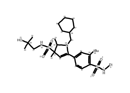 CCNS(=O)(=O)c1ccc(C2=CC(C)(S(=O)(=O)NCC(C)(C)O)C(C)N2CC2CCCCC2)cc1C(C)(C)C